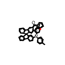 Cc1ccc(N(c2ccc(C)cc2)c2ccc3c(c2)C2(c4ccccc4-3)c3ccccc3-c3cc4c(=O)c5ccccc5oc4cc32)cc1